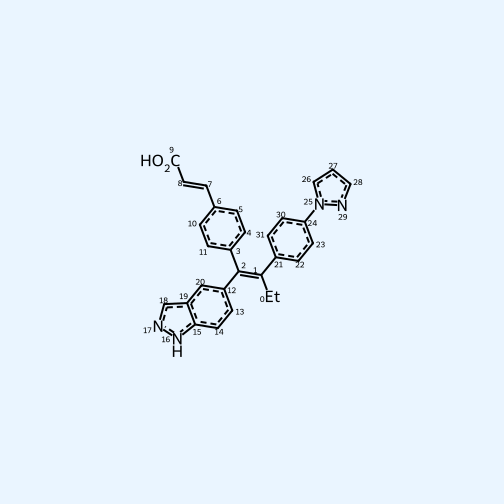 CC/C(=C(/c1ccc(/C=C/C(=O)O)cc1)c1ccc2[nH]ncc2c1)c1ccc(-n2cccn2)cc1